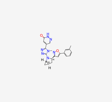 Cc1cccc(-c2cc([C@H]3C[C@H]4C[C@H]4N3c3nnc(-c4cn[nH]c(=O)c4)n3C)no2)c1